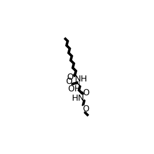 CCCCCCCCCCC(=O)N[C@@H](CCC(=O)NCCOCC)C(=O)O